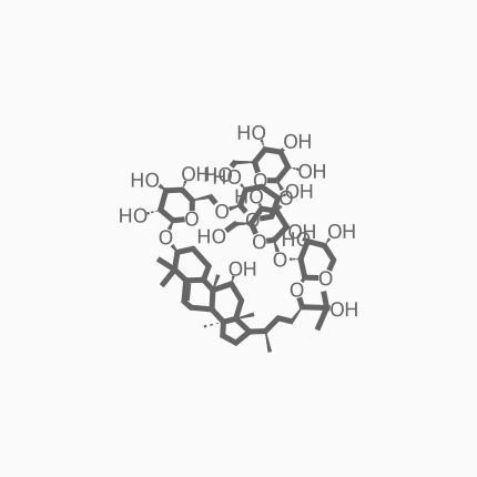 C[C@H](CC[C@@H](O[C@@H]1OC[C@@H](O)[C@H](O)[C@H]1O[C@H]1O[C@@H](CO)[C@H](O)[C@@H](O[C@H]2O[C@@H](CO)[C@H](O)[C@@H](O)[C@@H]2O)[C@@H]1O)C(C)(C)O)C1CC[C@@]2(C)C3CC=C4C(CC[C@H](O[C@@H]5O[C@H](CO[C@@H]6OC[C@@H](O)C[C@H]6O)[C@@H](O)[C@H](O)[C@H]5O)C4(C)C)[C@]3(C)[C@H](O)C[C@]12C